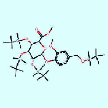 COC(=O)[C@H]1O[C@@H](Oc2ccc(CO[Si](C)(C)C(C)(C)C)cc2OC)[C@H](O[Si](C)(C)C(C)(C)C)[C@@H](O[Si](C)(C)C(C)(C)C)[C@H]1O[Si](C)(C)C(C)(C)C